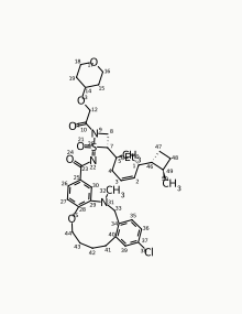 CC[C@@H](/C=C\C[C@H](C)[C@H]1CN(C(=O)COC2CCOCC2)S1(=O)=NC(=O)c1ccc2c(c1)N(C)Cc1ccc(Cl)cc1CCCCO2)[C@@H]1CC[C@H]1C